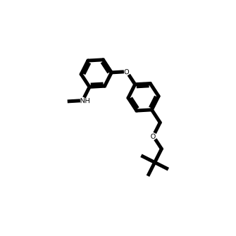 CNc1cccc(Oc2ccc(COCC(C)(C)C)cc2)c1